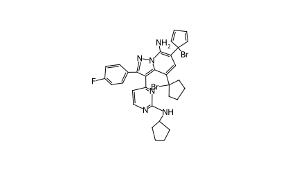 Nc1c(C2(Br)C=CC=C2)cc(C2(Br)CCCC2)c2c(-c3ccnc(NC4CCCC4)n3)c(-c3ccc(F)cc3)nn12